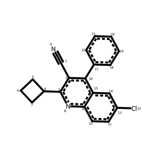 N#Cc1c(C2CCC2)nc2ccc(Cl)cc2c1-c1ccccc1